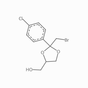 OCC1COC(CBr)(c2ccc(Cl)cc2)O1